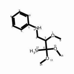 COC(CNc1ccccc1)C([SiH3])(OC)OC